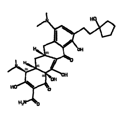 CN(C)c1cc(CCC2(O)CCCC2)c(O)c2c1C[C@H]1C[C@H]3[C@H](N(C)C)C(O)=C(C(N)=O)C(=O)[C@@]3(O)C(O)=C1C2=O